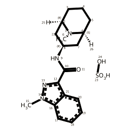 CN1[C@@H]2CCC[C@H]1C[C@@H](NC(=O)c1nn(C)c3ccccc13)C2.O=S(=O)(O)O